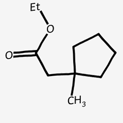 CCOC(=O)CC1(C)CCCC1